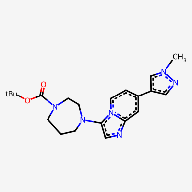 Cn1cc(-c2ccn3c(N4CCCN(C(=O)OC(C)(C)C)CC4)cnc3c2)cn1